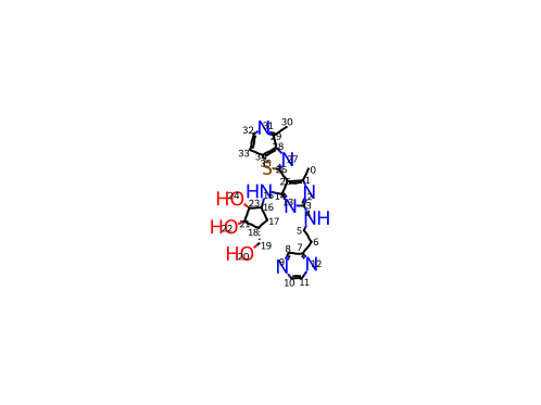 Cc1nc(NCCc2cnccn2)nc(NC2C[C@H](CO)[C@@H](O)[C@H]2O)c1-c1nc2c(C)nccc2s1